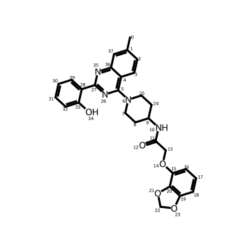 Cc1ccc2c(N3CCC(NC(=O)COc4cccc5c4OCO5)CC3)nc(-c3ccccc3O)nc2c1